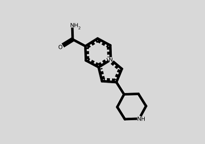 NC(=O)c1ccn2cc(C3CCNCC3)cc2c1